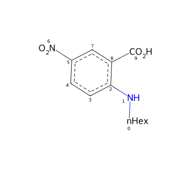 CCCCCCNc1ccc([N+](=O)[O-])cc1C(=O)O